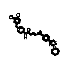 O=C(CCC[C@@H]1CC1c1ccc(-c2csc(N3CCCCCC3)n2)cc1)NC1CCN(Cc2ccc(Cl)c(Cl)c2)CC1